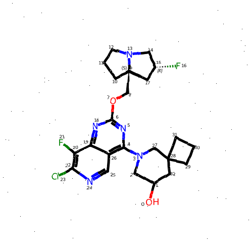 OC1CN(c2nc(OC[C@@]34CCCN3C[C@H](F)C4)nc3c(F)c(Cl)ncc23)CC2(CCC2)C1